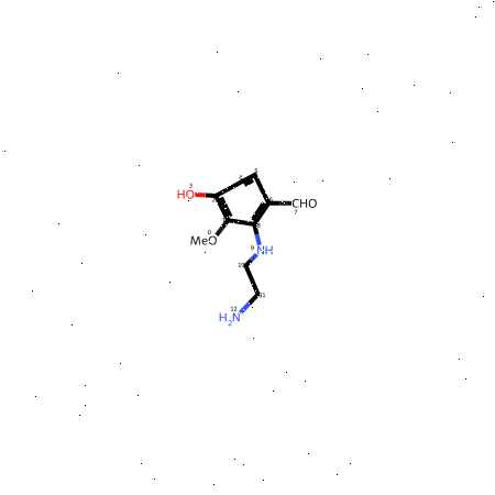 COc1c(O)ccc(C=O)c1NCCN